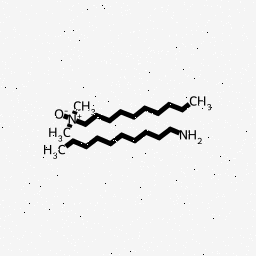 CCCCCCCCCCN.CCCCCCCCCC[N+](C)(C)[O-]